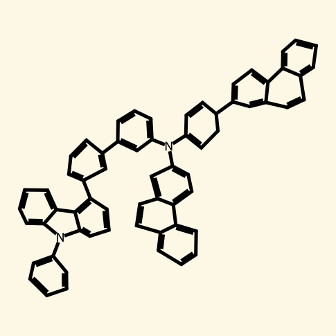 C1=CC(c2ccc3c(ccc4ccccc43)c2)CC=C1N(c1cccc(-c2cccc(-c3cccc4c3c3ccccc3n4-c3ccccc3)c2)c1)c1ccc2c(ccc3ccccc32)c1